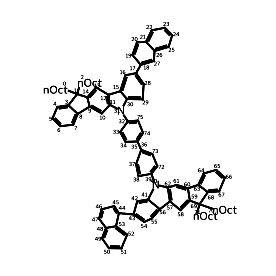 CCCCCCCCC1(CCCCCCCC)c2ccccc2-c2cc3c(cc21)c1cc(-c2ccc4ccccc4c2)ccc1n3-c1ccc(-c2ccc(-n3c4cc(-c5cccc6ccccc56)ccc4c4cc5c(cc43)-c3ccccc3C5(CCCCCCCC)CCCCCCCC)cc2)cc1